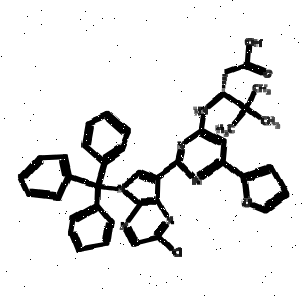 CC(C)(C)[C@@H](CC(=O)O)Nc1cc(-c2ccco2)nc(-c2cn(C(c3ccccc3)(c3ccccc3)c3ccccc3)c3ncc(Cl)nc23)n1